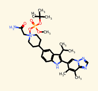 COP(=O)(OC(C)(C)C)O[N+]1(CC(N)=O)CCC(c2ccc3[nH]c(-c4cn5ncnc5c(C)c4C)c(C(C)C)c3c2)CC1